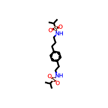 CC(C)S(=O)(=O)NCCCc1ccc(CCNS(=O)(=O)C(C)C)cc1